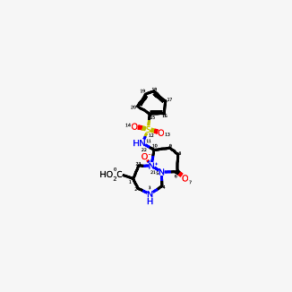 O=C(O)C1CNCN2C(=O)CCC(NS(=O)(=O)c3ccccc3)[N+]2([O-])C1